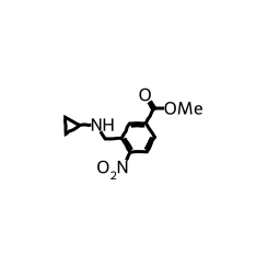 COC(=O)c1ccc([N+](=O)[O-])c(CNC2CC2)c1